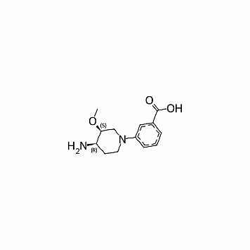 CO[C@H]1CN(c2cccc(C(=O)O)c2)CC[C@H]1N